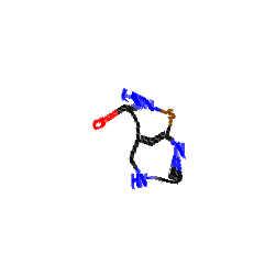 O=c1[nH]sc2c1CNC=N2